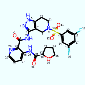 O=C(Nc1n[nH]c2c1CN(S(=O)(=O)c1cc(F)cc(F)c1)CC2)c1ncccc1NC(=O)[C@H]1CCCO1